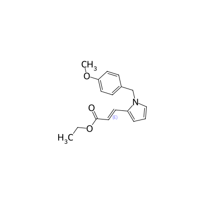 CCOC(=O)/C=C/c1cccn1Cc1ccc(OC)cc1